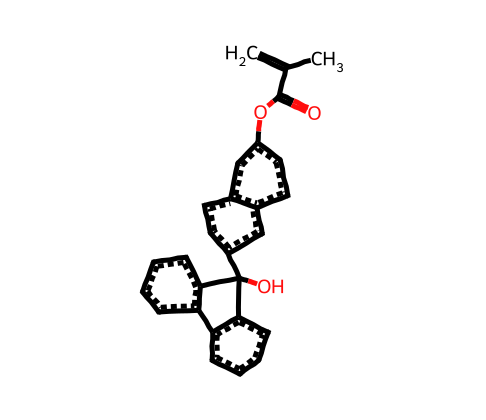 C=C(C)C(=O)Oc1ccc2cc(C3(O)c4ccccc4-c4ccccc43)ccc2c1